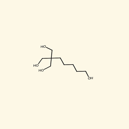 OCCCCCC(CO)(CO)CO